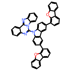 c1ccc2c(c1)nc(-n1c3ccc(-c4cccc5c4oc4ccccc45)cc3c3cc(-c4cccc5c4oc4ccccc45)ccc31)n1c3ccccc3nc21